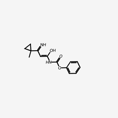 CC1(C(=N)/C=C(\O)NC(=O)Oc2ccccc2)CC1